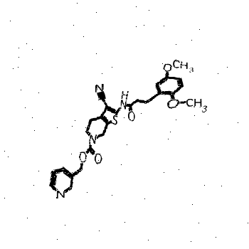 COc1ccc(OC)c(CCC(=O)Nc2sc3c(c2C#N)CCN(C(=O)OCc2cccnc2)C3)c1